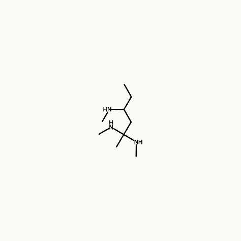 CCC(CC(C)(NC)NC)NC